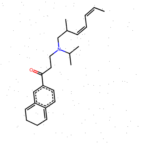 C/C=C\C=C/C(C)CN(CCC(=O)c1ccc2c(c1)=CCCC=2)C(C)C